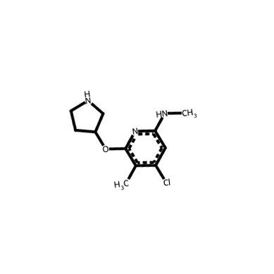 CNc1cc(Cl)c(C)c(OC2CCNC2)n1